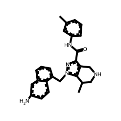 Cc1cccc(NC(=O)c2nn(Cc3cccc4cc(N)ccc34)c3c2CNCC3C)c1